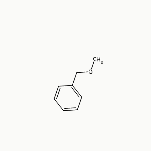 COCc1c[c]ccc1